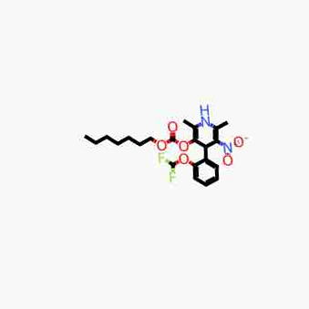 CCCCCCCOC(=O)OC1=C(C)NC(C)=C([N+](=O)[O-])C1c1ccccc1OC(F)F